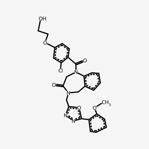 COc1ccccc1-c1nnc(CN2Cc3ccccc3N(C(=O)c3ccc(OCCO)cc3Cl)CC2=O)o1